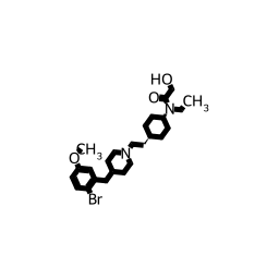 CCN(C(=O)CO)[C@H]1CC[C@H](CCN2CCC(Cc3cc(OC)ccc3Br)CC2)CC1